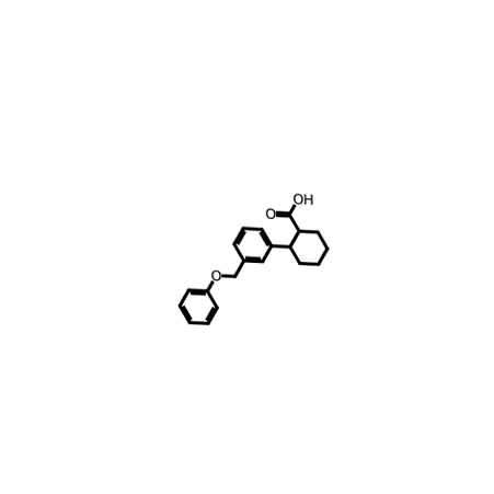 O=C(O)C1CCCCC1c1cccc(COc2ccccc2)c1